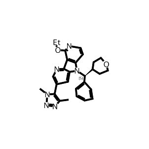 CCOc1nccc2c1c1ncc(-c3c(C)nnn3C)cc1n2[C@H](c1ccccc1)C1CCOCC1